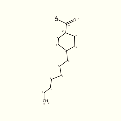 CCCCCCCC1CCC(C(=O)Cl)CC1